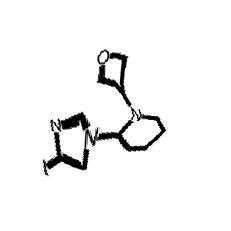 Ic1cn(C2CCCCN2C2COC2)cn1